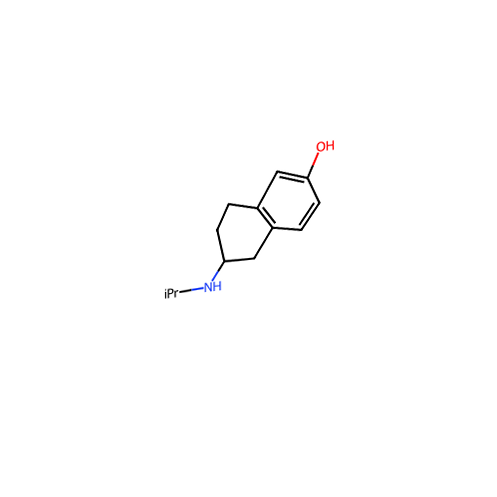 CC(C)NC1CCc2cc(O)ccc2C1